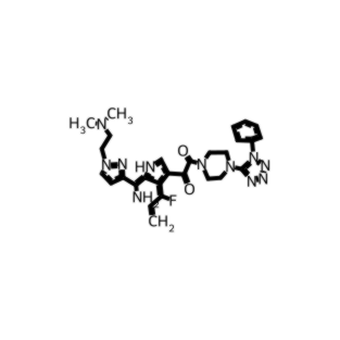 C=C/C(F)=c1/c(C(=O)C(=O)N2CCN(c3nnnn3-c3ccccc3)CC2)c[nH]/c1=C(/N)c1ccn(CCN(C)C)n1